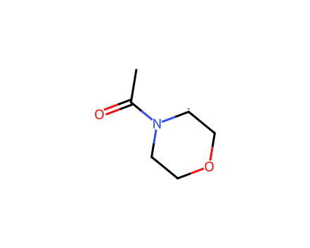 CC(=O)N1[CH]COCC1